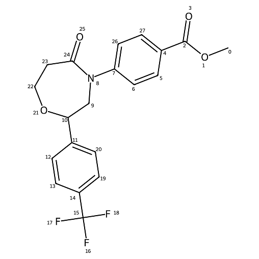 COC(=O)c1ccc(N2CC(c3ccc(C(F)(F)F)cc3)OCCC2=O)cc1